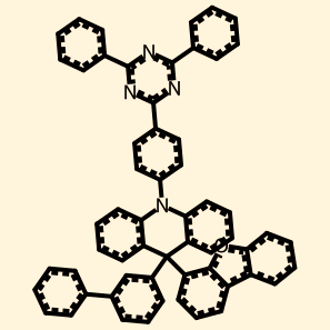 c1ccc(-c2cccc(C3(c4cccc5c4oc4ccccc45)c4ccccc4N(c4ccc(-c5nc(-c6ccccc6)nc(-c6ccccc6)n5)cc4)c4ccccc43)c2)cc1